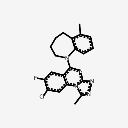 Cc1cccc2c1CCCCN2c1nc2nnc(C)n2c2cc(Cl)c(F)cc12